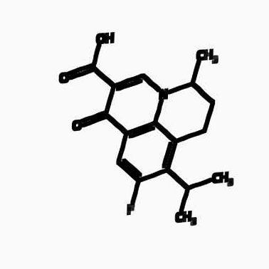 CC(C)c1c(F)cc2c(=O)c(C(=O)O)cn3c2c1CCC3C